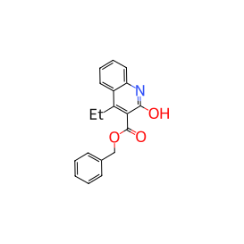 CCc1c(C(=O)OCc2ccccc2)c(O)nc2ccccc12